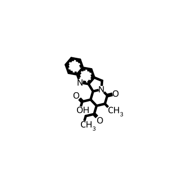 CCC(=O)C1C(C)C(=O)N2Cc3cc4ccccc4nc3C2C1C(=O)O